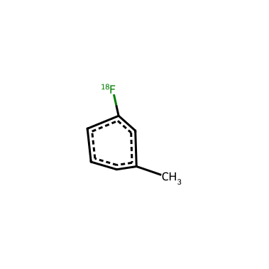 Cc1cccc([18F])c1